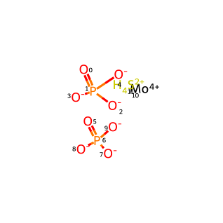 O=P([O-])([O-])[O-].O=P([O-])([O-])[O-].[Mo+4].[SH4+2]